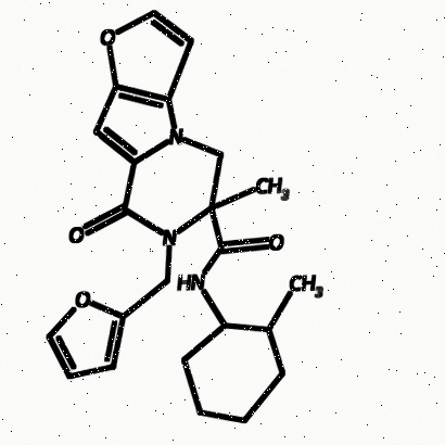 CC1CCCCC1NC(=O)C1(C)Cn2c(cc3occc32)C(=O)N1Cc1ccco1